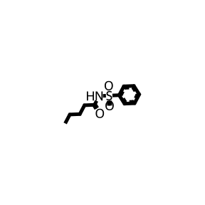 CCCCC(=O)NS(=O)(=O)c1ccccc1